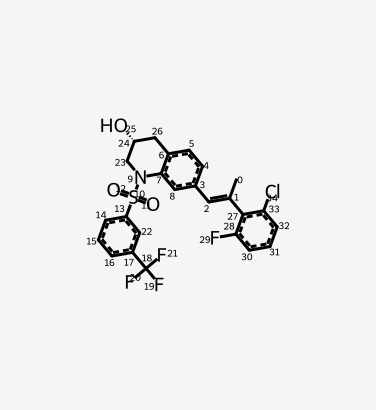 C/C(=C\c1ccc2c(c1)N(S(=O)(=O)c1cccc(C(F)(F)F)c1)C[C@H](O)C2)c1c(F)cccc1Cl